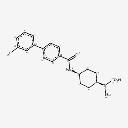 CC(C)(C)N(C(=O)O)[C@H]1CC[C@@H](NC(=O)c2ccc(-c3cccc(F)c3)nc2)CC1